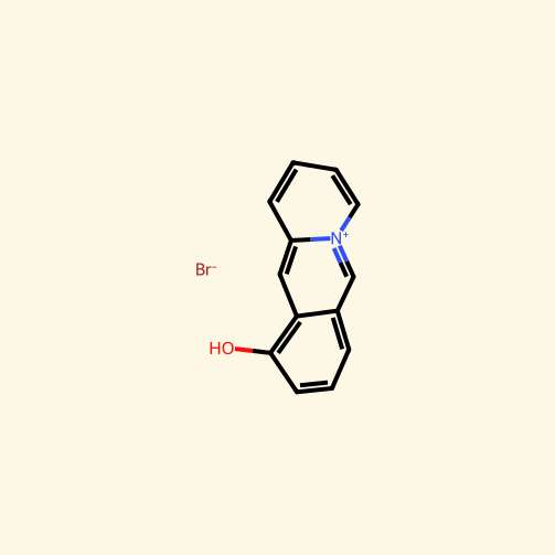 Oc1cccc2c[n+]3ccccc3cc12.[Br-]